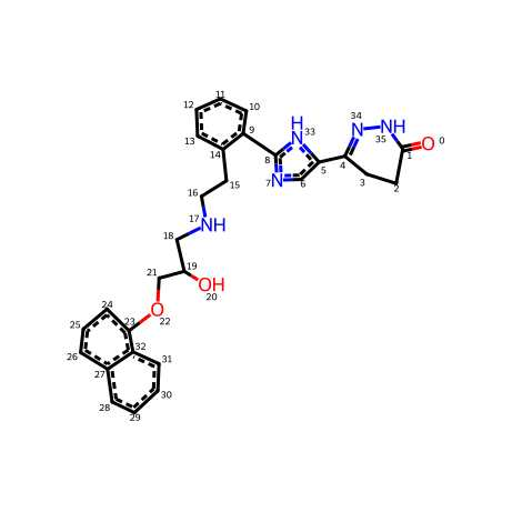 O=C1CCC(c2cnc(-c3ccccc3CCNCC(O)COc3cccc4ccccc34)[nH]2)=NN1